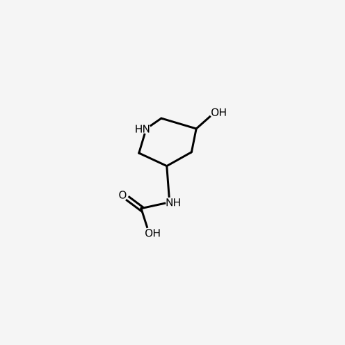 O=C(O)NC1CNCC(O)C1